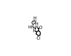 O=c1[nH]c(NC2CCNC2)nc2cc(Cl)ccc12